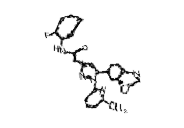 Cc1cccc(-n2nc(CC(=O)Nc3ccccc3F)cc2-c2ccc3ncoc3c2)n1